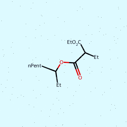 CCCCCC(CC)OC(=O)C(CC)C(=O)OCC